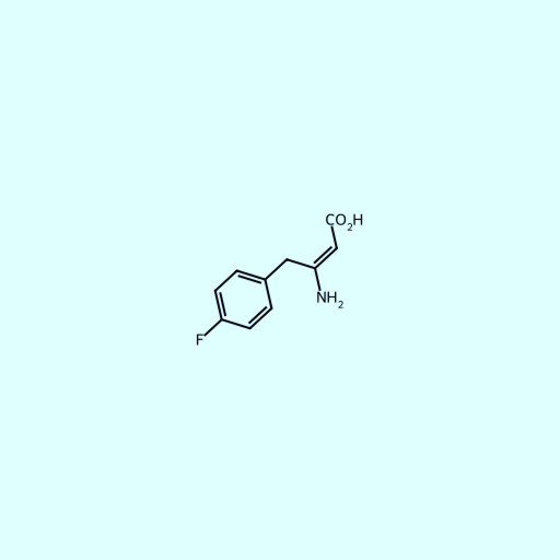 N/C(=C/C(=O)O)Cc1ccc(F)cc1